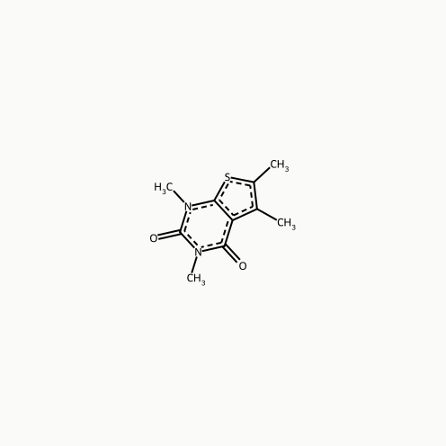 Cc1sc2c(c1C)c(=O)n(C)c(=O)n2C